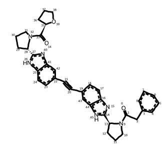 O=C(Cc1ccccc1)N1CCC[C@H]1c1nc2ccc(C#Cc3ccc4[nH]c([C@@H]5CCCN5C(=O)[C@H]5CCCO5)nc4c3)cc2[nH]1